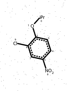 [CH2]C(C)Oc1ccc([N+](=O)[O-])cc1Cl